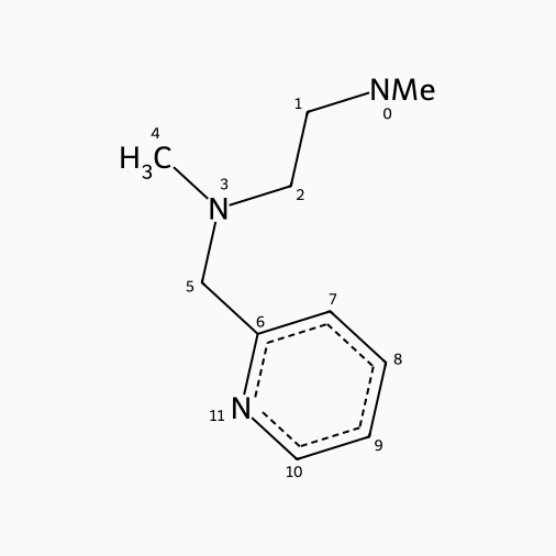 CNCCN(C)Cc1ccccn1